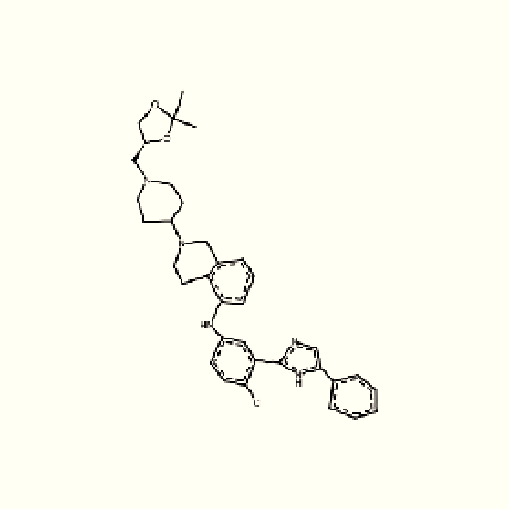 CC1(C)OC[C@H](CN2CCC(N3CCc4c(cccc4Nc4ccc(Cl)c(-c5ncc(-c6ccccc6)[nH]5)c4)C3)CC2)O1